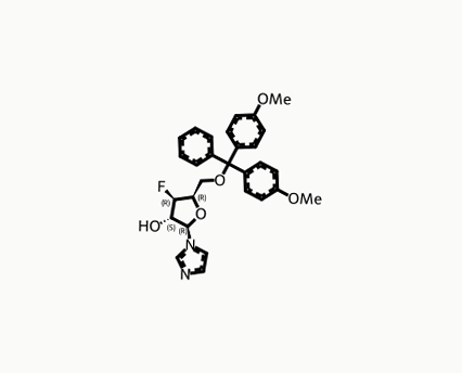 COc1ccc(C(OC[C@H]2O[C@@H](n3ccnc3)[C@H](O)[C@H]2F)(c2ccccc2)c2ccc(OC)cc2)cc1